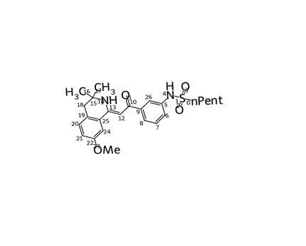 CCCCCS(=O)(=O)Nc1cccc(C(=O)C=C2NC(C)(C)Cc3ccc(OC)cc32)c1